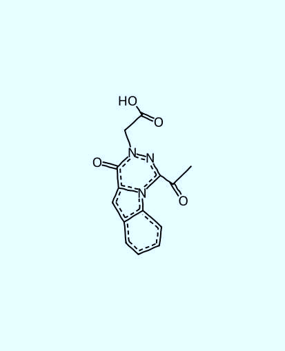 CC(=O)c1nn(CC(=O)O)c(=O)c2cc3ccccc3n12